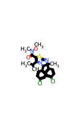 CON(C)C(=O)C1=C(C(C)C)N2C(=NC(C)(c3ccc(Cl)cc3)C2c2ccc(Cl)cc2)S1